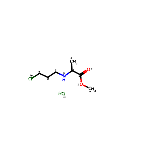 COC(=O)C(C)NCCCCl.Cl